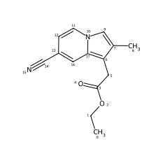 CCOC(=O)Cc1c(C)cn2ccc(C#N)cc12